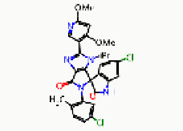 COc1cc(OC)c(-c2nc3c(n2C(C)C)C2(C(=O)Nc4cc(Cl)ccc42)N(c2cc(Cl)ccc2C)C3=O)cn1